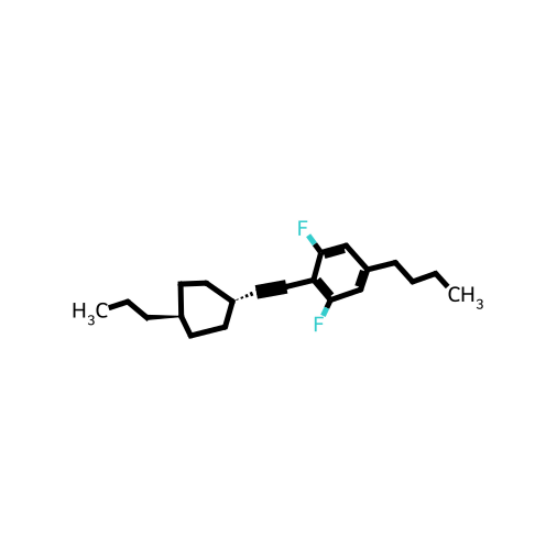 CCCCc1cc(F)c(C#C[C@H]2CC[C@H](CCC)CC2)c(F)c1